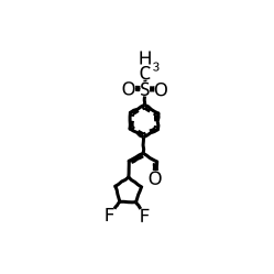 CS(=O)(=O)c1ccc(C(C=O)=CC2CC(F)C(F)C2)cc1